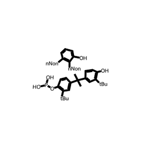 CC(C)(C)c1cc(C(C)(C)c2ccc(OP(O)O)c(C(C)(C)C)c2)ccc1O.CCCCCCCCCc1cccc(O)c1CCCCCCCCC